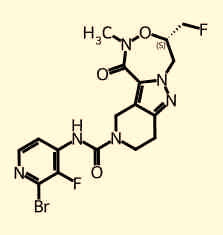 CN1O[C@H](CF)Cn2nc3c(c2C1=O)CN(C(=O)Nc1ccnc(Br)c1F)CC3